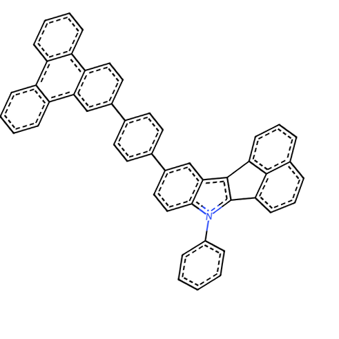 c1ccc(-n2c3c(c4cc(-c5ccc(-c6ccc7c8ccccc8c8ccccc8c7c6)cc5)ccc42)-c2cccc4cccc-3c24)cc1